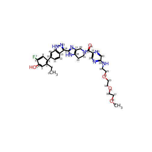 CCc1cc(O)c(F)cc1-c1ccc2c(-c3nc4c([nH]3)CCN(C(=O)c3cnc(NCCOCCOCCOC)cn3)C4)n[nH]c2c1